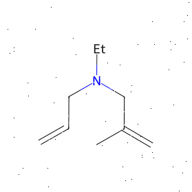 C=CCN(CC)CC(=C)C